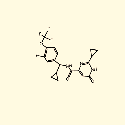 O=C(NC(c1ccc(OC(F)(F)F)c(F)c1)C1CC1)c1cc(=O)[nH]c(C2CC2)n1